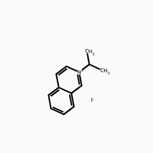 CC(C)[n+]1ccc2ccccc2c1.[I-]